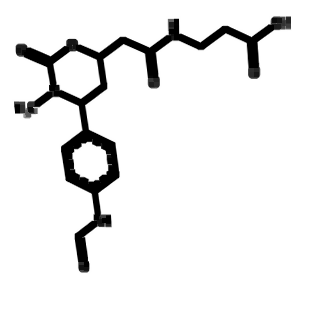 CN1C(=O)OC(CC(=O)NCCC(=O)O)CC1c1ccc(NC=O)cc1